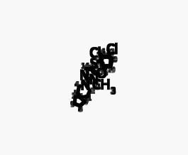 Cn1c(N2CCC3(CCCC3)CC2)ncc(Sc2cccc(Cl)c2Cl)c1=O